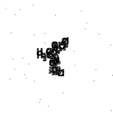 CC1(C)CN(C(=O)c2cccc(Cl)c2)CC/C1=C\c1ncc(-c2cccc(Cl)c2)o1